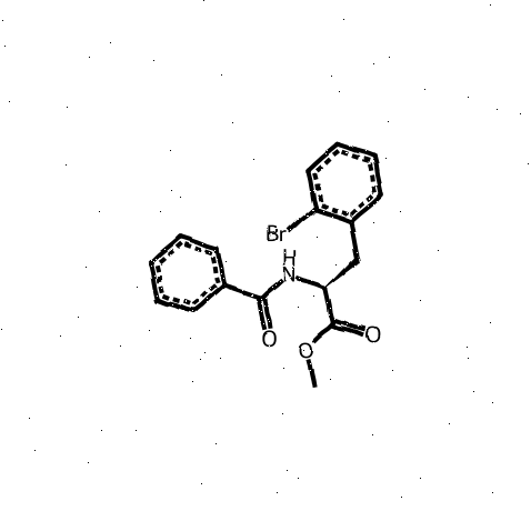 COC(=O)[C@H](Cc1ccccc1Br)NC(=O)c1ccccc1